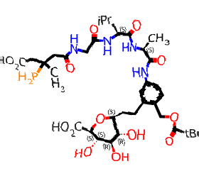 CC(C)[C@H](NC(=O)CNC(=O)CC(C)(P)CC(=O)O)C(=O)N[C@@H](C)C(=O)Nc1ccc(COC(=O)C(C)(C)C)c(CC[C@@H]2O[C@H](C(=O)O)[C@@H](O)[C@H](O)[C@H]2O)c1